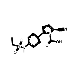 CCS(=O)(=O)Nc1ccc(-c2ccc(C#N)n2C(=O)O)cc1